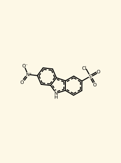 O=[N+]([O-])c1ccc2c(c1)[nH]c1ccc(S(=O)(=O)Cl)cc12